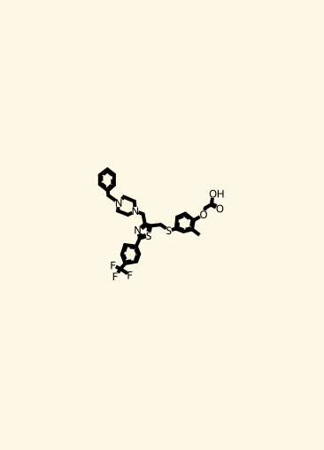 Cc1cc(SCc2sc(-c3ccc(C(F)(F)F)cc3)nc2CN2CCN(Cc3ccccc3)CC2)ccc1OCC(=O)O